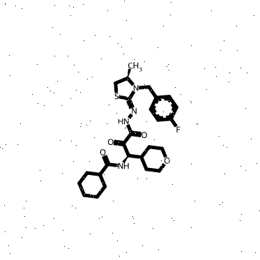 C[C@@H]1CS/C(=N\NC(=O)C(=O)[C@H](NC(=O)C2CCCCC2)C2CCOCC2)N1Cc1ccc(F)cc1